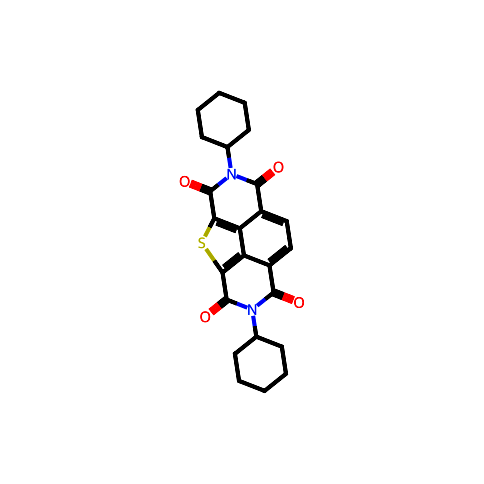 O=C1c2ccc3c4c(sc(c24)C(=O)N1C1CCCCC1)C(=O)N(C1CCCCC1)C3=O